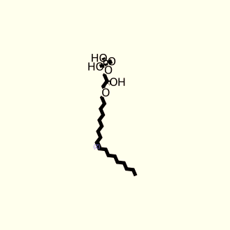 CCCCCCCC/C=C\CCCCCCCCOC[C@@H](O)COP(=O)(O)O